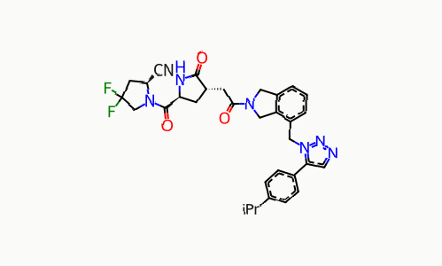 CC(C)c1ccc(-c2cnnn2Cc2cccc3c2CN(C(=O)C[C@@H]2C[C@@H](C(=O)N4CC(F)(F)C[C@H]4C#N)NC2=O)C3)cc1